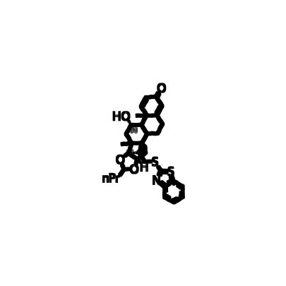 CCCC1O[C@@H]2CC3C4CCC5=CC(=O)C=CC5(C)C4[C@@H](O)CC3(C)[C@]2(C(=O)CSc2nc3ccccc3s2)O1